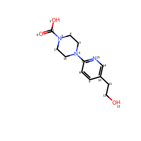 O=C(O)N1CCN(c2ccc(CCO)cn2)CC1